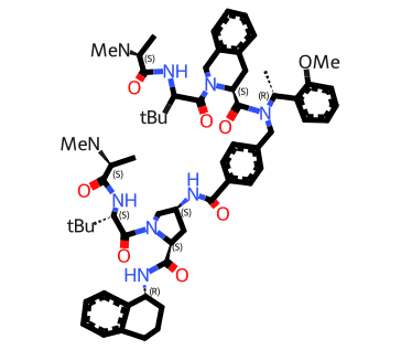 CN[C@@H](C)C(=O)NC(C(=O)N1Cc2ccccc2C[C@H]1C(=O)N(Cc1ccc(C(=O)N[C@H]2C[C@@H](C(=O)N[C@@H]3CCCc4ccccc43)N(C(=O)[C@@H](NC(=O)[C@H](C)NC)C(C)(C)C)C2)cc1)[C@H](C)c1ccccc1OC)C(C)(C)C